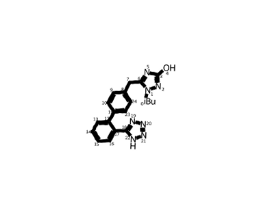 CCC(C)n1nc(O)nc1Cc1ccc(-c2ccccc2-c2nnn[nH]2)cc1